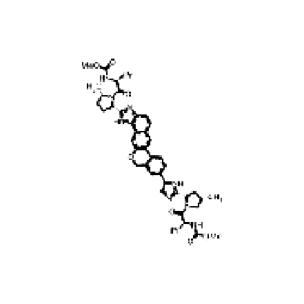 COC(=O)N[C@H](C(=O)N1C[C@@H](C)C[C@H]1c1ncc(-c2ccc3c(c2)COc2cc4c(ccc5nc([C@@H]6CC[C@H](C)N6C(=O)[C@@H](NC(=O)OC)C(C)C)[nH]c54)cc2-3)[nH]1)C(C)C